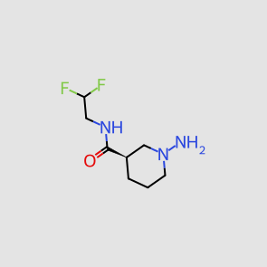 NN1CCC[C@@H](C(=O)NCC(F)F)C1